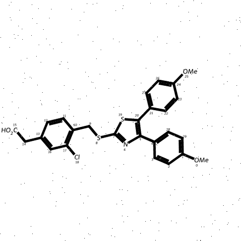 COc1ccc(-c2nc(SCc3ccc(CC(=O)O)cc3Cl)sc2-c2ccc(OC)cc2)cc1